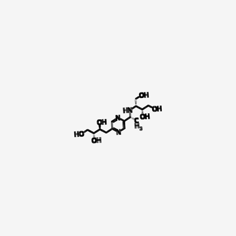 C[C@@H](N[C@H](CO)[C@@H](O)CO)c1cnc(C[C@H](O)[C@H](O)CO)cn1